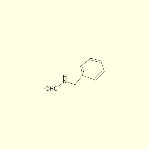 O=[C]NCc1ccccc1